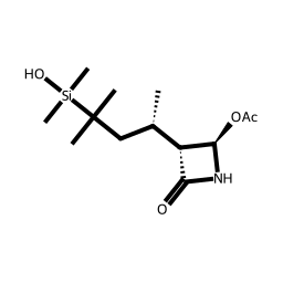 CC(=O)O[C@H]1NC(=O)[C@@H]1[C@@H](C)CC(C)(C)[Si](C)(C)O